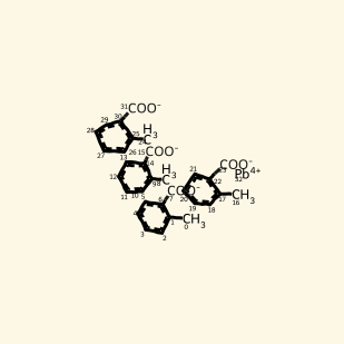 Cc1ccccc1C(=O)[O-].Cc1ccccc1C(=O)[O-].Cc1ccccc1C(=O)[O-].Cc1ccccc1C(=O)[O-].[Pb+4]